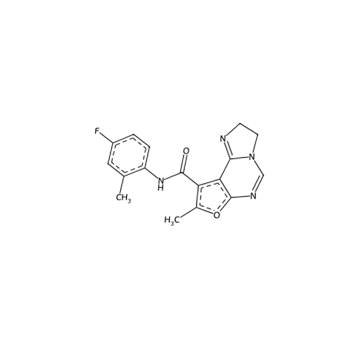 Cc1cc(F)ccc1NC(=O)c1c(C)oc2c1C1=NCCN1C=N2